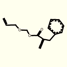 C=CCOCOC(=O)C(=C)Cc1ccccc1